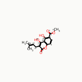 COC(=O)c1ccc2oc(=O)c(CC=C(C)C)c(O)c2c1O